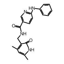 Cc1cc(C)c(CNC(=O)c2ccc(Nc3ccccc3)nc2)c(=O)[nH]1